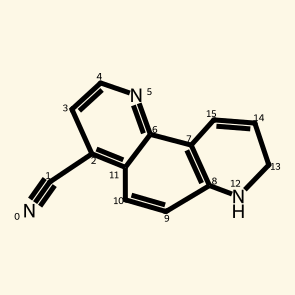 N#Cc1ccnc2c3c(ccc12)NCC=C3